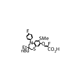 CCCCC1(CC)CSc2cc(O/C=C(\F)C(=O)O)c(SC)cc2N(c2ccc(F)cc2)C1